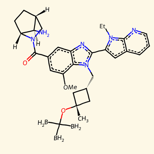 BC(B)(B)O[C@]1(C)C[C@H](Cn2c(-c3cc4cccnc4n3CC)nc3cc(C(=O)N4C[C@H]5CC[C@@H]4[C@@H]5N)cc(OC)c32)C1